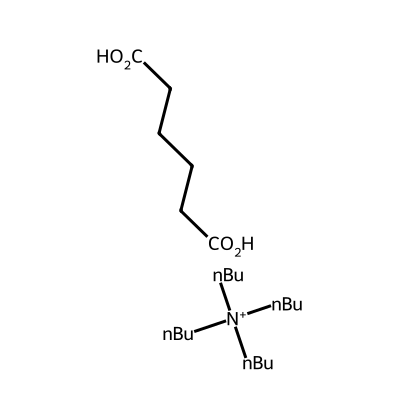 CCCC[N+](CCCC)(CCCC)CCCC.O=C(O)CCCCC(=O)O